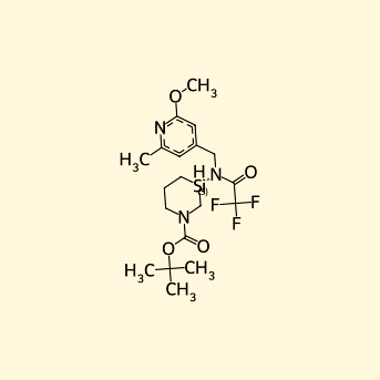 COc1cc(CN(C(=O)C(F)(F)F)[Si@H]2CCCN(C(=O)OC(C)(C)C)C2)cc(C)n1